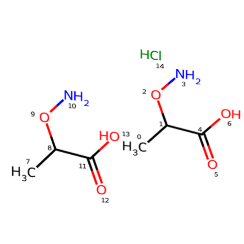 CC(ON)C(=O)O.CC(ON)C(=O)O.Cl